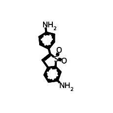 Nc1ccc(C2=Cc3ccc(N)cc3S2(=O)=O)cc1